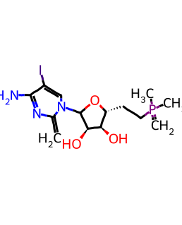 C=C1N=C(N)C(I)=CN1C1O[C@H](CCP(=C)(C)C)[C@@H](O)[C@H]1O